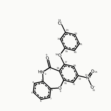 O=C1Nc2ccccc2Oc2cc([N+](=O)[O-])cc(Oc3cccc(Cl)c3)c21